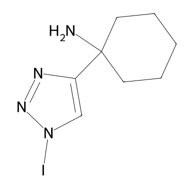 NC1(c2cn(I)nn2)CCCCC1